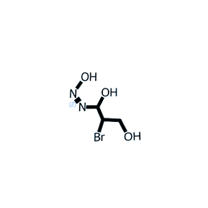 OCC(Br)C(O)/N=N\O